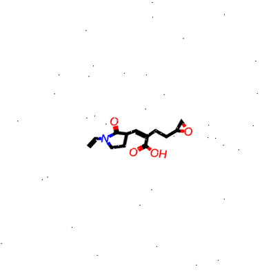 C=CN1CCC(C=C(CCC2CO2)C(=O)O)C1=O